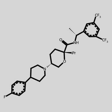 CC(C)[C@]1(C(=O)N[C@H](C)c2cc(C(F)(F)F)cc(C(F)(F)F)c2)CC[C@@H](N2CCC(c3ccc(F)cc3)CC2)CO1